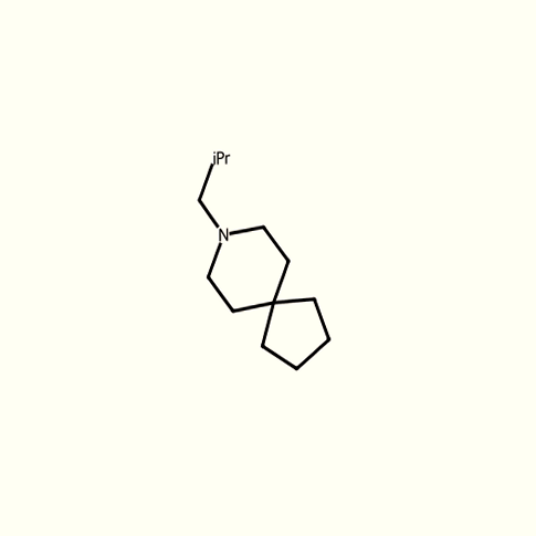 CC(C)CN1CCC2(CCCC2)CC1